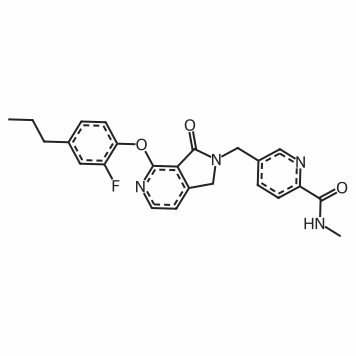 CCCc1ccc(Oc2nccc3c2C(=O)N(Cc2ccc(C(=O)NC)nc2)C3)c(F)c1